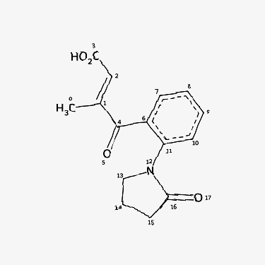 CC(=CC(=O)O)C(=O)c1ccccc1N1CCCC1=O